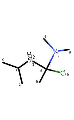 CC(C)[SiH2]C(C)(Cl)N(C)C